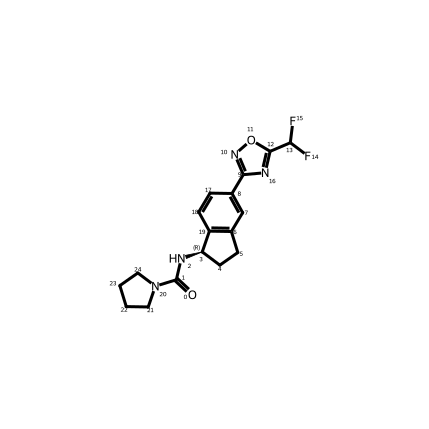 O=C(N[C@@H]1CCc2cc(-c3noc(C(F)F)n3)ccc21)N1CCCC1